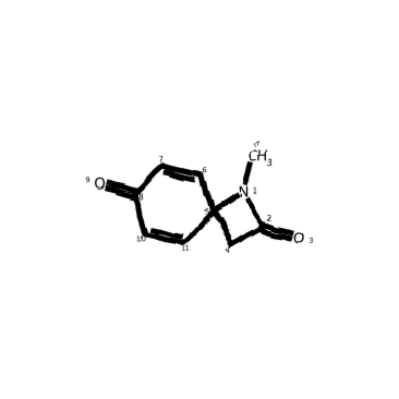 CN1C(=O)CC12C=CC(=O)C=C2